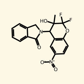 CC1(O)C(N2Cc3ccccc3C2=O)c2cc([N+](=O)[O-])ccc2OC1(F)F